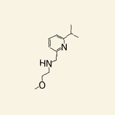 COCCNCc1cccc(C(C)C)n1